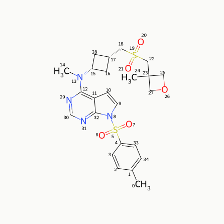 Cc1ccc(S(=O)(=O)n2ccc3c(N(C)[C@H]4C[C@@H](CS(=O)(=O)CC5(C)COC5)C4)ncnc32)cc1